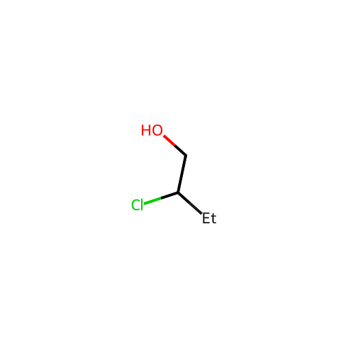 [CH2]CC(Cl)CO